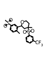 Cc1ccc(S(C)(=O)=O)cc1C1CC(C)(S(=O)(=O)c2cccc(C(F)(F)F)c2)CCO1